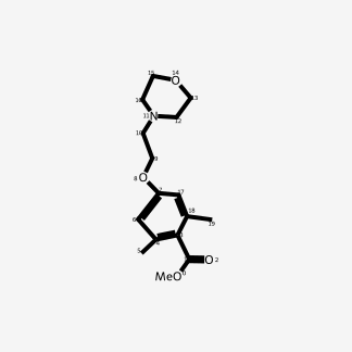 COC(=O)c1c(C)cc(OCCN2CCOCC2)cc1C